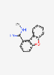 CC(C)NC(=N)c1cccc2oc3ccccc3c12